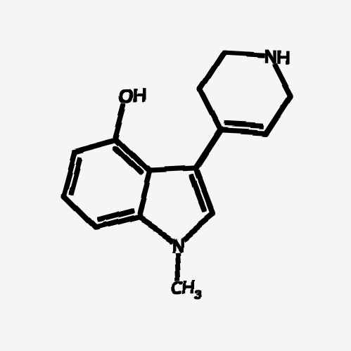 Cn1cc(C2=CCNCC2)c2c(O)cccc21